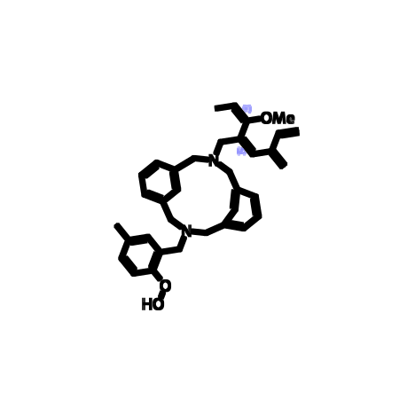 C=CC(=C)/C=C(CN1Cc2cccc(c2)CN(Cc2cc(C)ccc2OO)Cc2cccc(c2)C1)\C(=C/C)OC